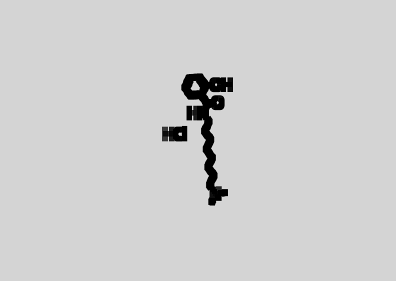 CN(C)CCCCCCCCNC(=O)c1ccccc1O.Cl